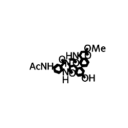 COC(=O)CC(NC(=O)CN1C(=O)c2cc(NC(C)=O)ccc2NC(=O)C1Cc1ccc(O)cc1)c1ccccc1